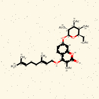 CC(=O)OC[C@H]1O[C@@H](Oc2ccc3c(OC/C=C(\C)CCC=C(C)C)c(OC(C)=O)c(=O)oc3c2)[C@H](OC(C)=O)[C@@H](OC(C)=O)[C@H]1OC(C)=O